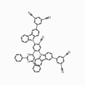 N#Cc1cc(C#N)cc(-c2ccc3c(c2)c2ccccc2n3-c2cc(-c3cc(-c4ccccc4)nc(-c4ccccc4)n3)c(-n3c4ccccc4c4cc(-c5cc(C#N)cc(C#N)c5)ccc43)cc2C#N)c1